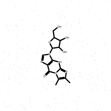 Cc1nc2[nH]c3c(ncn3C3OC(CO)C(O)C3O)c(=O)n2c1C